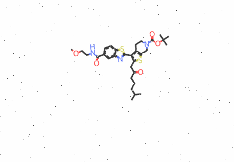 COCCNC(=O)c1ccc2sc(-c3c(CC(=O)CCCC(C)C)sc4c3CCN(C(=O)OC(C)(C)C)C4)nc2c1